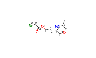 CC1COCC(CCCOC(=O)CBr)N1